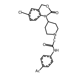 CC(=O)c1ccc(NC(=O)CN2CCC(N3C(=O)OCc4cc(Cl)ccc43)CC2)cc1